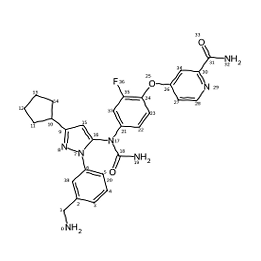 NCc1cccc(-n2nc(C3CCCC3)cc2N(C(N)=O)c2ccc(Oc3ccnc(C(N)=O)c3)c(F)c2)c1